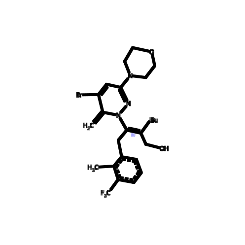 C=C1C(Br)=CC(N2CCOCC2)=NN1/C(Cc1cccc(C(F)(F)F)c1C)=C(/CO)C(C)CC